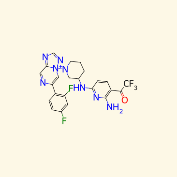 Nc1nc(NC2CCCN([N+]34C=C(c5ccc(F)cc5F)N=CC3=NC=N4)C2)ccc1C(=O)C(F)(F)F